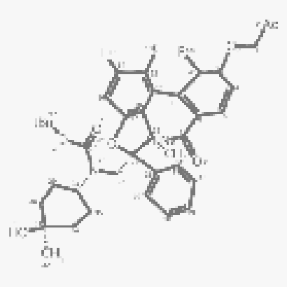 CC(=O)COC1C=CC(C(N)=O)=C(c2c(Cl)c(F)cc3c2[C@H](C)[C@@](CN(C(=O)OC(C)(C)C)[C@H]2CC[C@](C)(O)CC2)(c2ccccc2)O3)C1F